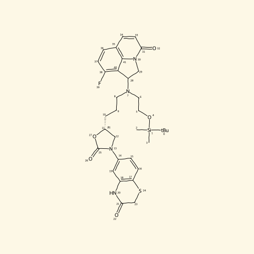 CC(C)(C)[Si](C)(C)OCCN(CCC[C@@H]1CN(c2ccc3c(c2)NC(=O)CS3)C(=O)O1)C1Cn2c(=O)ccc3ccc(F)c1c32